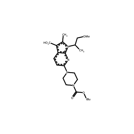 COCC(C)n1c(C)c(C(=O)O)c2ccc(N3CCN(C(=O)OC(C)(C)C)CC3)nc21